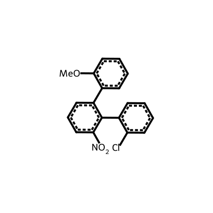 COc1ccccc1-c1cccc([N+](=O)[O-])c1-c1ccccc1Cl